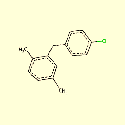 Cc1ccc(C)c(Cc2ccc(Cl)cc2)c1